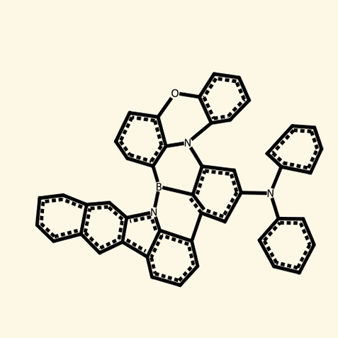 c1ccc(N(c2ccccc2)c2cc3c4c(c2)N2c5ccccc5Oc5cccc(c52)B4n2c4cc5ccccc5cc4c4cccc-3c42)cc1